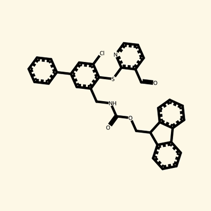 O=Cc1cccnc1Sc1c(Cl)cc(-c2ccccc2)cc1CNC(=O)OCC1c2ccccc2-c2ccccc21